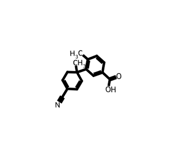 Cc1ccc(C(=O)O)cc1C1(C)C=CC(C#N)=CC1